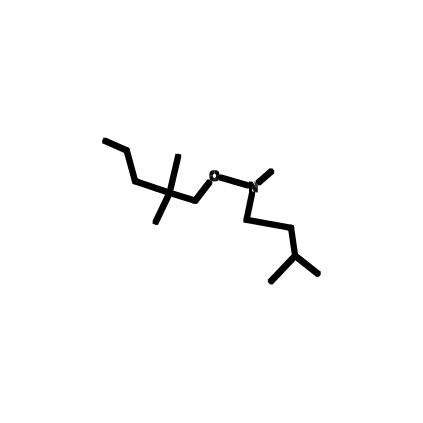 CCCC(C)(C)CON(C)CCC(C)C